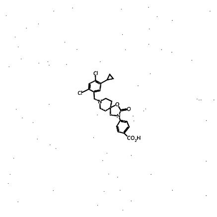 O=C(O)c1ccc(N2CC3(CCN(Cc4cc(C5CC5)c(Cl)cc4Cl)CC3)OC2=O)cc1